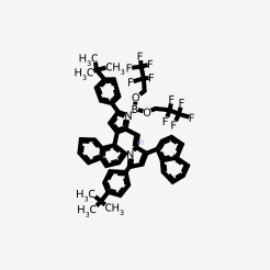 CC(C)(C)c1ccc(C2=N/C(=C\c3c(-c4cccc5ccccc45)cc(-c4ccc(C(C)(C)C)cc4)n3B(OCC(F)(F)C(F)(F)F)OCC(F)(F)C(F)(F)F)C(c3cccc4ccccc34)=C2)cc1